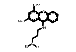 CCN(CC)CCCNc1c2ccccc2nc2c(OC)cc(OC)cc12